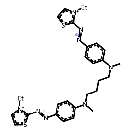 CC[n+]1ccsc1/N=N/c1ccc(N(C)CCCCN(C)c2ccc(/N=N/c3scc[n+]3CC)cc2)cc1